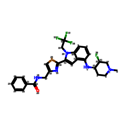 CN1CC[C@@H](Nc2cccc3c2cc(-c2nc(CNC(=O)c4ccccc4)cs2)n3CC(F)(F)F)[C@@H](F)C1